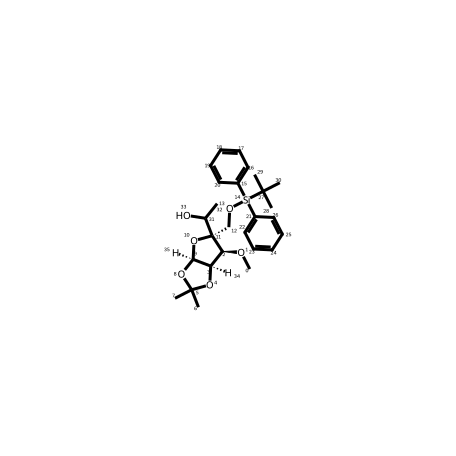 CO[C@H]1[C@H]2OC(C)(C)O[C@H]2O[C@@]1(CO[Si](c1ccccc1)(c1ccccc1)C(C)(C)C)C(C)O